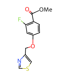 COC(=O)c1ccc(OCc2cscn2)cc1F